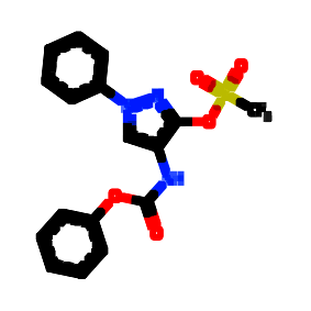 O=C(Nc1cn(-c2ccccc2)nc1OS(=O)(=O)C(F)(F)F)Oc1ccccc1